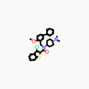 COc1ccc(-c2ccccc2)cc1CN(C(=O)c1sc2ccccc2c1Cl)[C@H]1CC[C@H](N(C)C)CC1